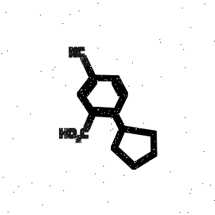 N#Cc1ccc(C2CCCC2)c(C(=O)O)c1